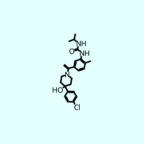 C=C(c1ccc(C)c(NC(=O)NC(C)C)c1)N1CCC(O)(c2ccc(Cl)cc2)CC1